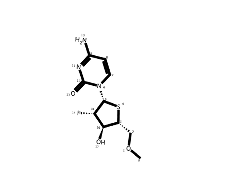 COC[C@H]1S[C@@H](n2ccc(N)nc2=O)[C@@H](F)[C@@H]1O